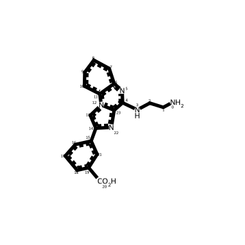 NCCNc1nc2ccccc2n2cc(-c3cccc(C(=O)O)c3)nc12